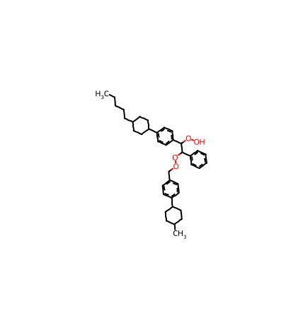 CCCCCC1CCC(c2ccc(C(OO)C(OOCc3ccc(C4CCC(C)CC4)cc3)c3ccccc3)cc2)CC1